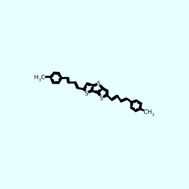 Cc1ccc(/C=C/C=C/c2cc3sc4cc(/C=C/C=C/c5ccc(C)cc5)sc4c3s2)cc1